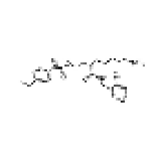 CCc1ccc(NC(=O)OCCN(CCCCCN)C(=O)NCc2ccccc2Cl)cc1